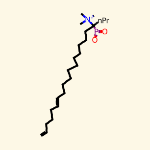 C=CCCCC=CCCCCCCCCCCC(CCC)(P(=O)=O)[N+](C)(C)C